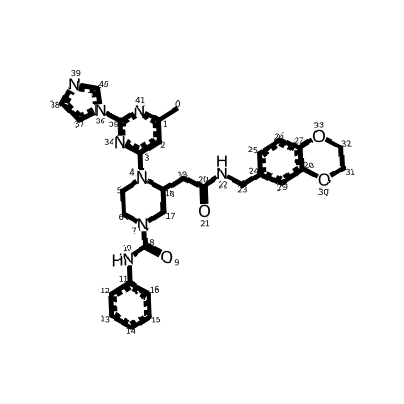 Cc1cc(N2CCN(C(=O)Nc3ccccc3)CC2CC(=O)NCc2ccc3c(c2)OCCO3)nc(-n2ccnc2)n1